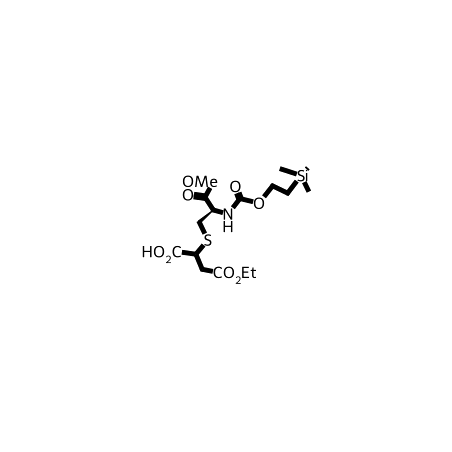 CCOC(=O)CC(SC[C@H](NC(=O)OCC[Si](C)(C)C)C(=O)OC)C(=O)O